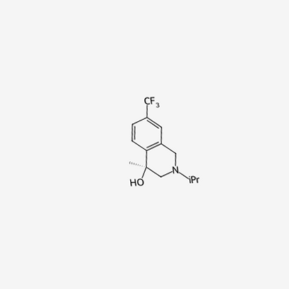 CC(C)N1Cc2cc(C(F)(F)F)ccc2[C@](C)(O)C1